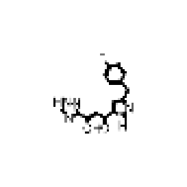 O=C(C=C(O)c1nc[nH]n1)c1cc(Cc2ccc(F)cc2)n[nH]1